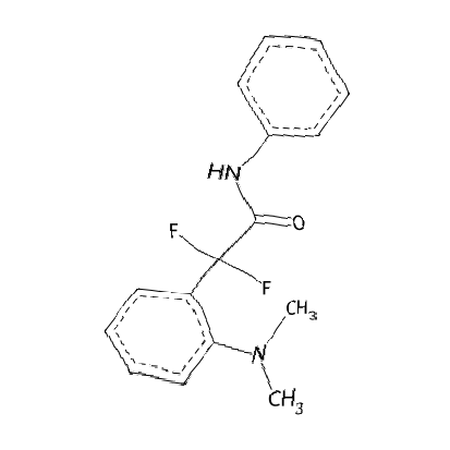 CN(C)c1ccccc1C(F)(F)C(=O)Nc1ccccc1